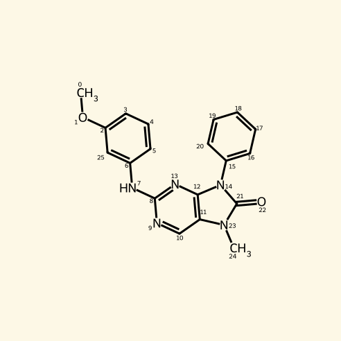 COc1cccc(Nc2ncc3c(n2)n(-c2ccccc2)c(=O)n3C)c1